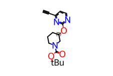 C#Cc1ccnc(O[C@@H]2CCCN(C(=O)OC(C)(C)C)C2)n1